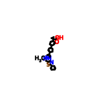 CN(Cc1cnc(-c2ccccc2)s1)n1cc(-c2ccc(-c3ccc(C4(C(=O)O)CC4)cc3)cc2)cn1